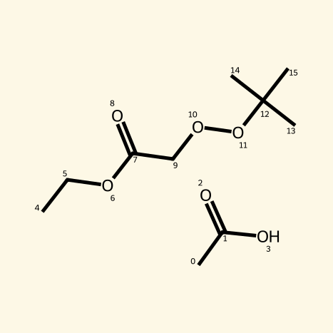 CC(=O)O.CCOC(=O)COOC(C)(C)C